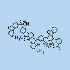 Cc1cccc(N(c2ccc3c(c2)C(C)(C)c2cc4c(cc2-3)C(C)(C)c2ccc3oc5ccccc5c3c2-4)c2ccc3c(c2)C(C)(C)c2c4c(c5c(oc6ccccc65)c2-3)-c2ccccc2C4(C)C)c1